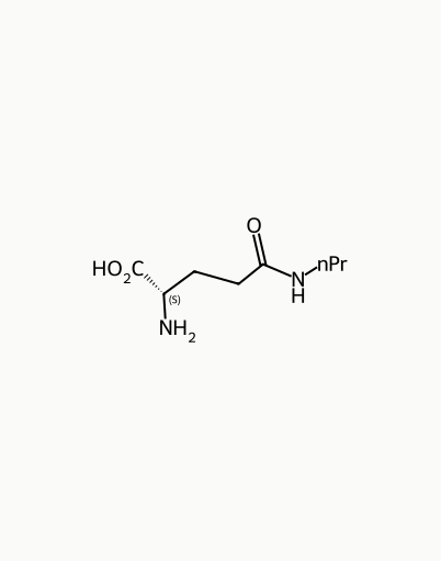 CCCNC(=O)CC[C@H](N)C(=O)O